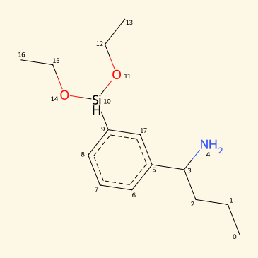 CCCC(N)c1cccc([SiH](OCC)OCC)c1